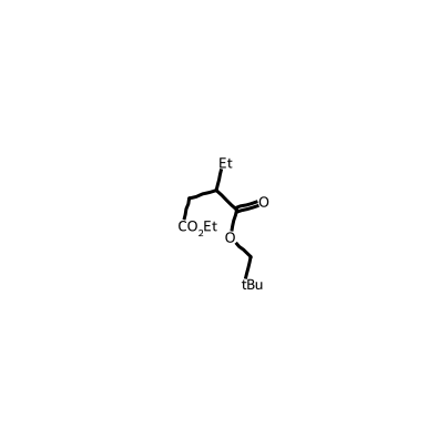 CCOC(=O)CC(CC)C(=O)OCC(C)(C)C